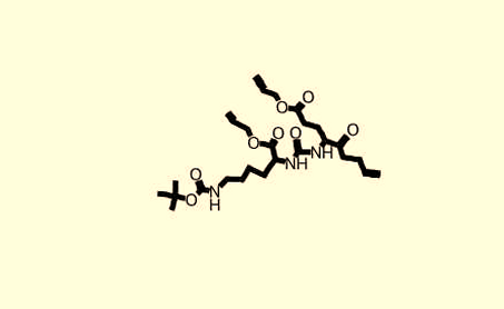 C=CCCC(=O)C(CCC(=O)OCC=C)NC(=O)NC(CCCCNC(=O)OC(C)(C)C)C(=O)OCC=C